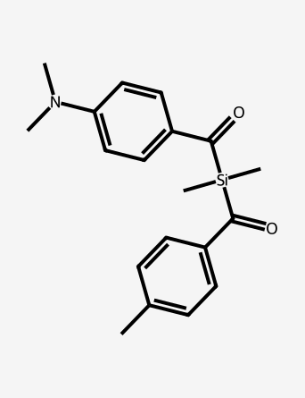 Cc1ccc(C(=O)[Si](C)(C)C(=O)c2ccc(N(C)C)cc2)cc1